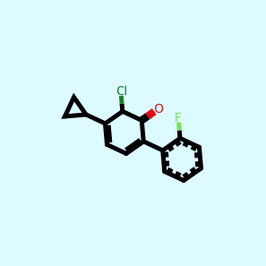 O=C1C(c2ccccc2F)=CC=C(C2CC2)C1Cl